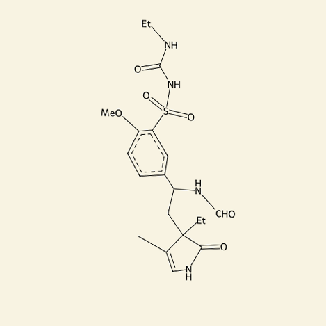 CCNC(=O)NS(=O)(=O)c1cc(C(CC2(CC)C(=O)NC=C2C)NC=O)ccc1OC